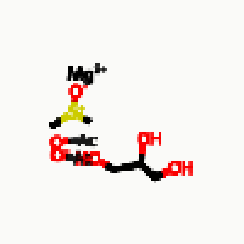 CC(=O)[O-].CC(=O)[O-].C[S+](C)[O-].OCC(O)CO.[Mg+2]